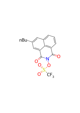 CCCCc1cc2c3c(cccc3c1)C(=O)N(OS(=O)(=O)C(F)(F)F)C2=O